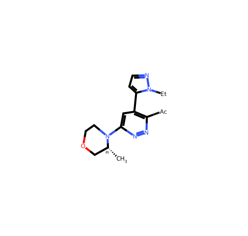 CCn1nccc1-c1cc(N2CCOC[C@H]2C)nnc1C(C)=O